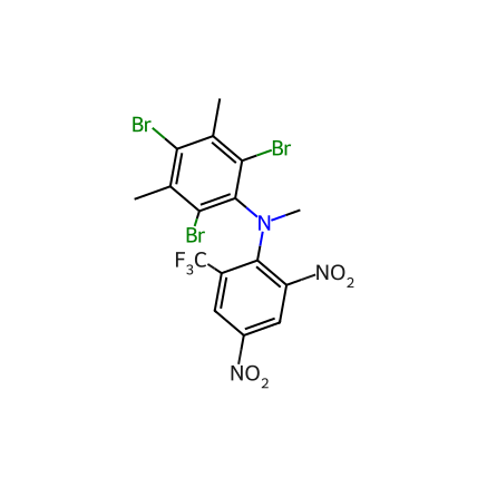 Cc1c(Br)c(C)c(Br)c(N(C)c2c([N+](=O)[O-])cc([N+](=O)[O-])cc2C(F)(F)F)c1Br